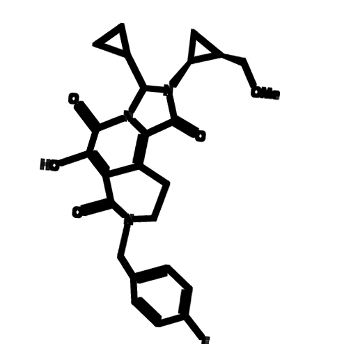 COC[C@@H]1C[C@@H]1N1C(=O)c2c3c(c(O)c(=O)n2C1C1CC1)C(=O)N(Cc1ccc(F)cc1)CC3